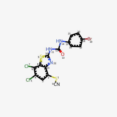 N#CSc1cc(Cl)c(Cl)c2sc(NC(=O)Nc3ccc(Br)cc3)nc12